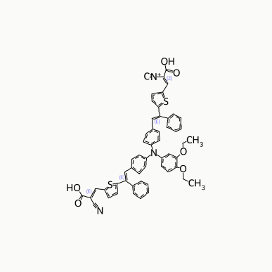 [C-]#[N+]/C(=C\c1ccc(/C(=C/c2ccc(N(c3ccc(/C=C(\c4ccccc4)c4ccc(/C=C(\C#N)C(=O)O)s4)cc3)c3ccc(OCC)c(OCC)c3)cc2)c2ccccc2)s1)C(=O)O